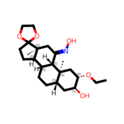 CCO[C@H]1C[C@@]2(C)[C@@H](CC[C@@H]3[C@@H]2/C(=N/O)C[C@@]2(C)[C@H]3CCC23OCCO3)C[C@@H]1O